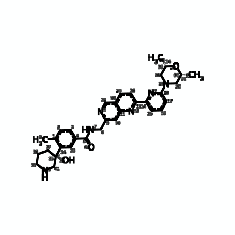 Cc1ccc(C(=O)NCc2cc3nc(-c4cccc(N5C[C@@H](C)O[C@@H](C)C5)n4)ccc3cn2)cc1[C@]1(O)CCCNC1